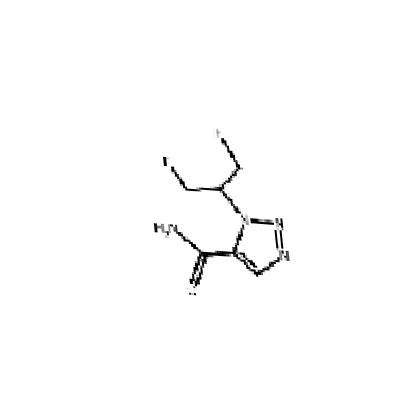 NC(=O)c1cnnn1C(CF)CF